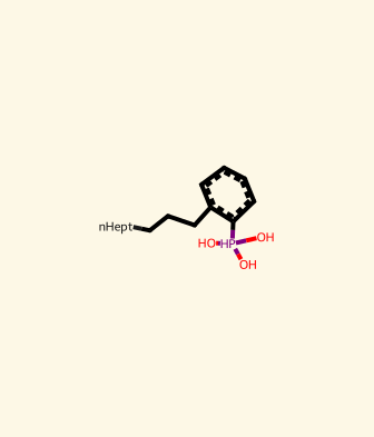 CCCCCCCCCCc1ccccc1[PH](O)(O)O